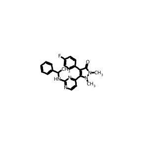 CC(Nc1nccc(-c2c(-c3ccc(F)cc3)c(=O)n(C)n2C)n1)c1ccccc1